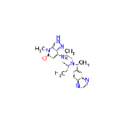 CC[C@@H]1CN(c2cc(=O)n(C)c3c[nH]nc23)[C@@H](C)CN1C(C)c1ccc2nccnc2c1